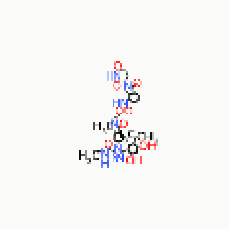 CCNC(=O)c1nnc(-c2cc(C(C)C)c(O)cc2O)n1-c1ccc(C(=O)N(C)CCOC(=O)Nc2cccc3c2CN(C2CCC(=O)NC2=O)C3=O)cc1